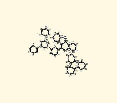 c1ccc(-c2cc(-c3cccc(-c4nc5c(-c6ccc7c8ccccc8c8ccccc8c7c6)cccc5c5oc6ccccc6c45)c3)nc(-c3ccccc3)n2)cc1